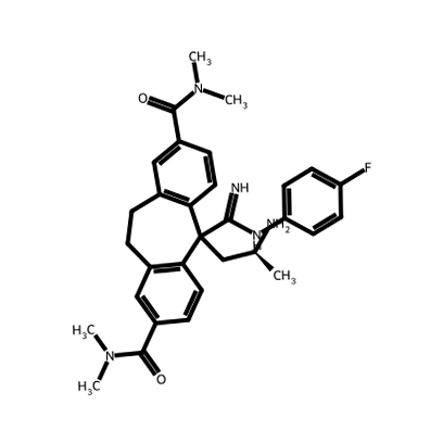 C[C@H](N)CC1(C(=N)Nc2ccc(F)cc2)c2ccc(C(=O)N(C)C)cc2CCc2cc(C(=O)N(C)C)ccc21